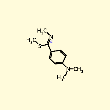 C/N=C(\SC)c1ccc(N(C)C)cc1